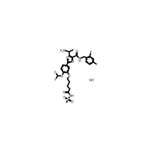 CC(N)c1oc(-c2ccc(OC(F)F)c(OCCCCC(=O)NS(C)(=O)=O)c2)nc1C(=O)NCc1ccc(F)cc1F.Cl